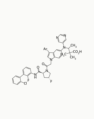 CC(=O)c1cn(CC(=O)N2C[C@H](F)C[C@H]2C(=O)Nc2cccc(-c3ccccc3Cl)c2F)c2ccc(N(c3cncnc3)C(C)C(C)(C)C(=O)O)cc12